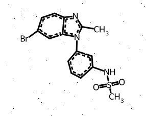 Cc1nc2ccc(Br)cc2n1-c1cccc(NS(C)(=O)=O)c1